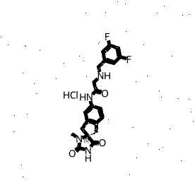 CN1C(=O)NC(=O)[C@@]12Cc1ccc(NC(=O)CNCc3cc(F)cc(F)c3)cc1C2.Cl